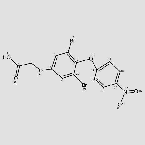 O=C(O)COc1cc(Br)c(Oc2ccc([N+](=O)[O-])cc2)c(Br)c1